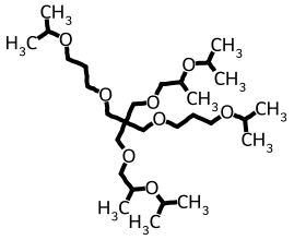 CC(C)OCCCOCC(COCCCOC(C)C)(COCC(C)OC(C)C)COCC(C)OC(C)C